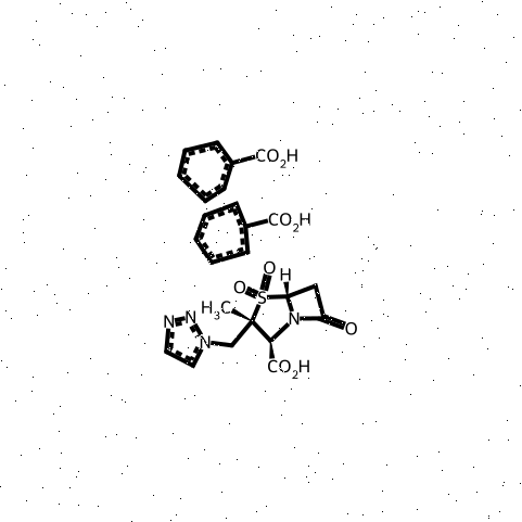 C[C@]1(Cn2ccnn2)[C@H](C(=O)O)N2C(=O)C[C@H]2S1(=O)=O.O=C(O)c1ccccc1.O=C(O)c1ccccc1